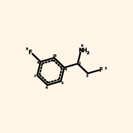 NC(CF)c1cccc(F)c1